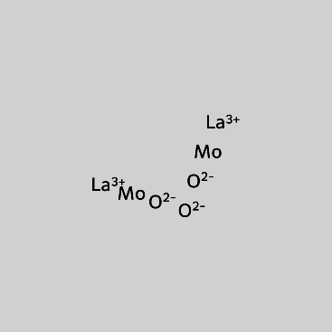 [La+3].[La+3].[Mo].[Mo].[O-2].[O-2].[O-2]